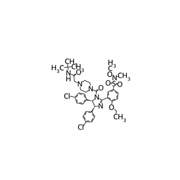 CCOc1ccc(S(=O)(=O)N(C)OC)cc1C1=N[C@@H](c2ccc(Cl)cc2)[C@@H](c2ccc(Cl)cc2)N1C(=O)N1CCN(CC(=O)NC(C)(C)C)CC1